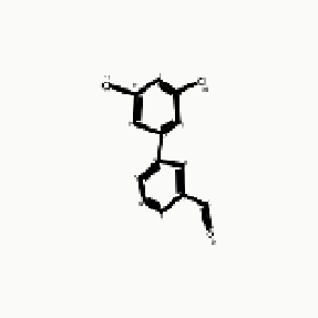 O=Cc1cccc(-c2cc(Cl)cc(Cl)c2)c1